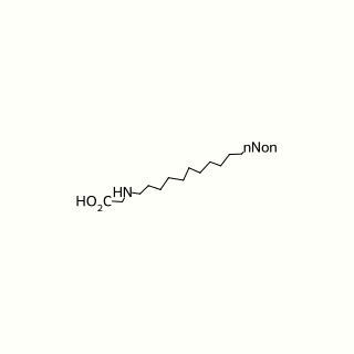 CCCCCCCCCCCCCCCCCCCCNCC(=O)O